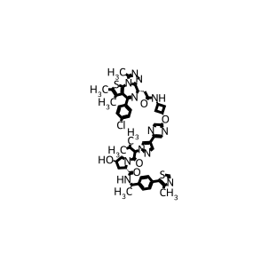 Cc1ncsc1-c1ccc([C@H](C)NC(=O)[C@@H]2C[C@@H](O)CN2C(=O)C(C(C)C)n2cc(-c3cnc(O[C@H]4C[C@H](NC(=O)C[C@@H]5N=C(c6ccc(Cl)cc6)c6c(sc(C)c6C)-n6c(C)nnc65)C4)cn3)cn2)cc1